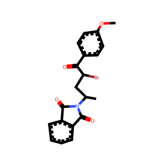 COc1ccc(C(=O)C(Br)CC(C)N2C(=O)c3ccccc3C2=O)cc1